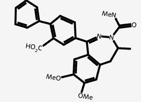 CNC(=O)N1N=C(c2ccc(-c3ccccc3)c(C(=O)O)c2)c2cc(OC)c(OC)cc2CC1C